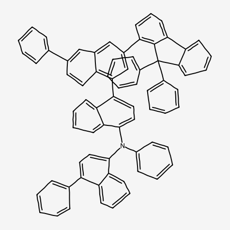 c1ccc(-c2ccc3c(-c4ccc(N(c5ccccc5)c5ccc(-c6ccccc6)c6ccccc56)c5ccccc45)cc(-c4cccc5c4C(c4ccccc4)(c4ccccc4)c4ccccc4-5)cc3c2)cc1